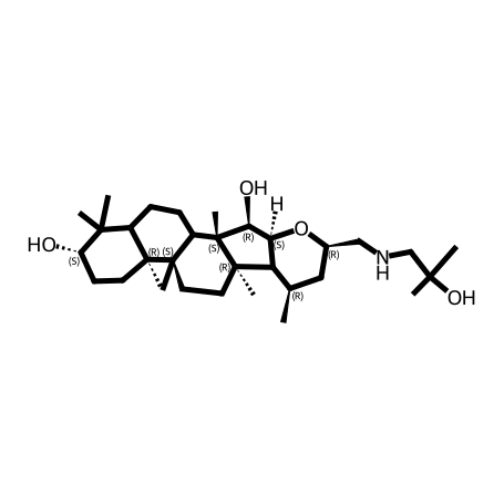 C[C@@H]1C[C@H](CNCC(C)(C)O)O[C@H]2C1[C@@]1(C)CC[C@@]34C[C@@]35CC[C@H](O)C(C)(C)C5CCC4[C@]1(C)[C@H]2O